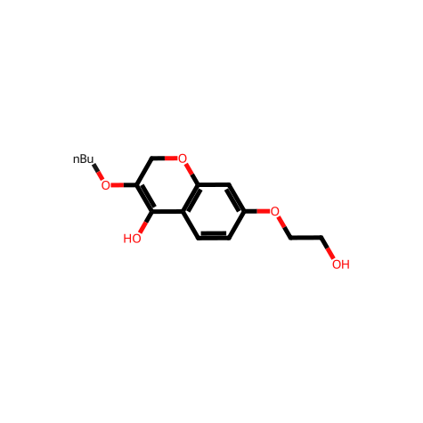 CCCCOC1=C(O)c2ccc(OCCO)cc2OC1